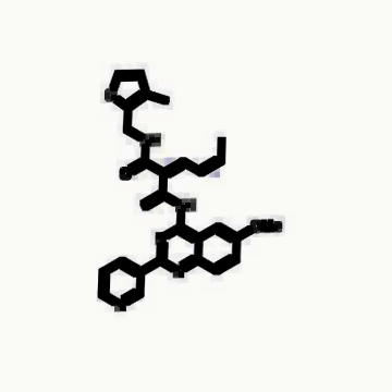 C=C(Nc1nc(-c2cccnc2)nc2ccc(OC)cc12)/C(=C\C=C/C)C(=O)NCc1occc1C